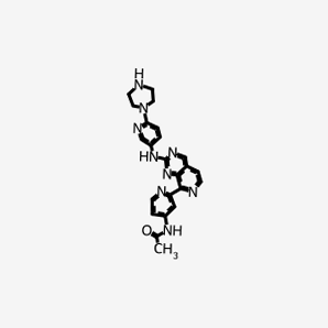 CC(=O)Nc1ccnc(-c2nccc3cnc(Nc4ccc(N5CCNCC5)nc4)nc23)c1